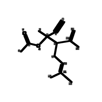 C#CC(C)(OC(C)=O)C(CC=C(C)C)C(=C)C